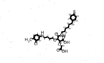 Cc1ccc(NCCCCOC(C(=O)NCCCCCCc2ccc(F)cc2)C(OCC(=O)O)C(=O)O)cc1Cl